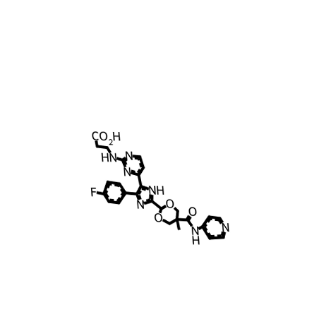 CC1(C(=O)Nc2ccncc2)COC(c2nc(-c3ccc(F)cc3)c(-c3ccnc(NCCC(=O)O)n3)[nH]2)OC1